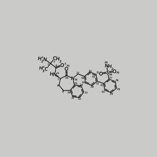 CC(C)(N)C(=O)N[C@@H]1CCc2ccccc2N(Cc2ccc(-c3ccccc3S(N)(=O)=O)cc2)C1=O